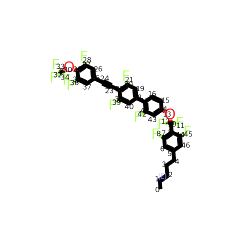 C/C=C/CCc1cc(F)c(C(F)(F)Oc2ccc(-c3cc(F)c(C#Cc4cc(F)c(OC(F)(F)F)c(F)c4)c(F)c3)c(F)c2)c(F)c1